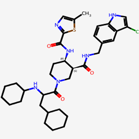 Cc1cnc(C(=O)N[C@@H]2CCN(C(=O)C(CC3CCCCC3)NC3CCCCC3)C[C@@H]2C(=O)NCc2ccc3[nH]cc(Cl)c3c2)s1